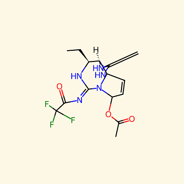 C=C1N[C@H]2[C@H](CC)N/C(=N\C(=O)C(F)(F)F)N3C(OC(C)=O)C=CC23N1